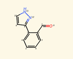 O=[C]c1ccccc1-c1cc[nH]n1